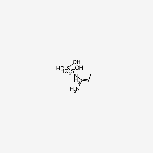 CC=C(N)N.O=S(=O)(O)O.O=S(=O)(O)O